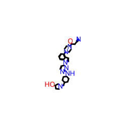 N#CCC(=O)N1CCN(c2cccc3c2ccn3-c2ccnc(NC3CCC(CN4CC[C@@H](O)C4)CC3)n2)CC1